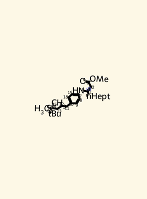 CCCCCCC/C(=C/C(=O)OC)Nc1ccc(CCC[Si](C)(C)C(C)(C)C)cc1